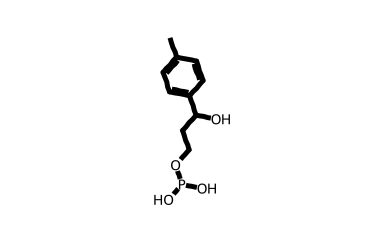 Cc1ccc(C(O)CCOP(O)O)cc1